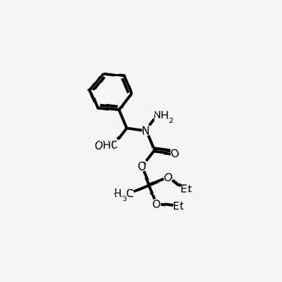 CCOC(C)(OCC)OC(=O)N(N)C(C=O)c1ccccc1